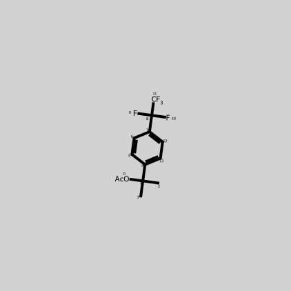 CC(=O)OC(C)(C)c1ccc(C(F)(F)C(F)(F)F)cc1